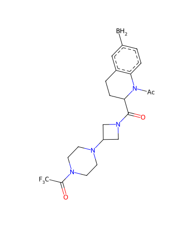 Bc1ccc2c(c1)CCC(C(=O)N1CC(N3CCN(C(=O)C(F)(F)F)CC3)C1)N2C(C)=O